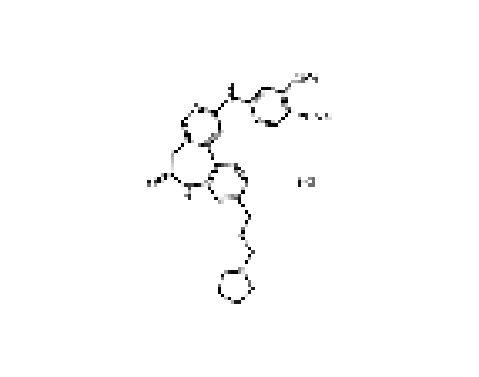 COc1ccc(Nc2ncc3c(n2)-c2ccc(CCCN4CCCC4)cc2NC(=O)C3)cc1OC.Cl